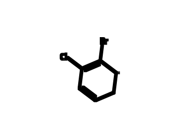 ClC1=C(Br)[CH]CC=C1